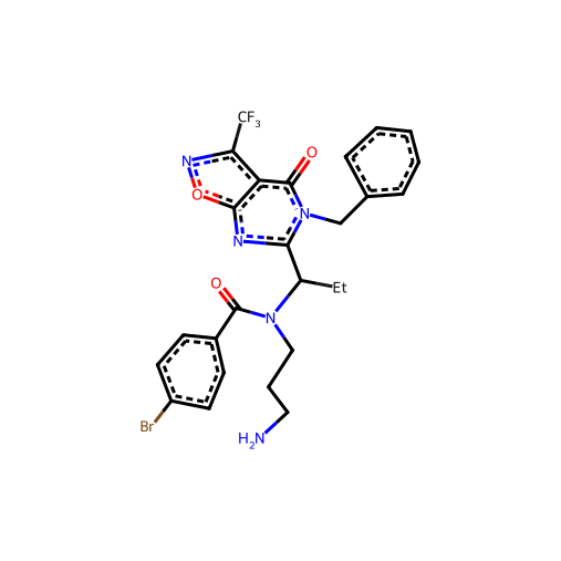 CCC(c1nc2onc(C(F)(F)F)c2c(=O)n1Cc1ccccc1)N(CCCN)C(=O)c1ccc(Br)cc1